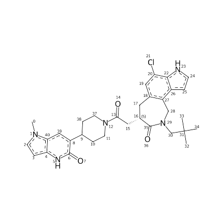 Cn1ccc2[nH]c(=O)c(C3CCN(C(=O)C[C@@H]4Cc5cc(Cl)c6[nH]ccc6c5CN(CC(C)(C)C)C4=O)CC3)cc21